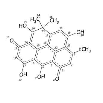 Cc1cc(=O)c2c(O)c3c(O)cc(=O)c4c3c3c(cc(O)c1c23)C(C)(C)C=4O